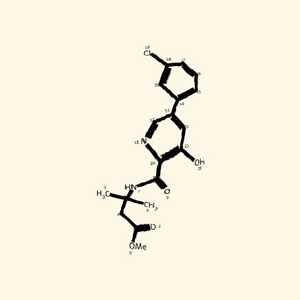 COC(=O)CC(C)(C)NC(=O)c1ncc(-c2cccc(Cl)c2)cc1O